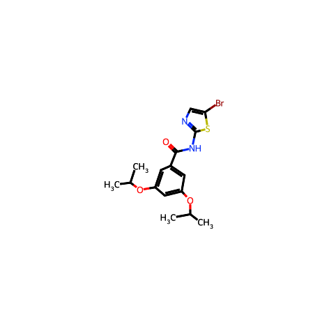 CC(C)Oc1cc(OC(C)C)cc(C(=O)Nc2ncc(Br)s2)c1